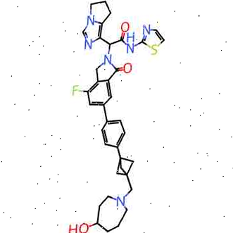 O=C(Nc1nccs1)C(c1ncn2c1CCC2)N1Cc2c(F)cc(-c3ccc(C45CC(CN6CCCC(O)CC6)(C4)C5)cc3)cc2C1=O